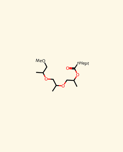 CCCCCCCC(=O)OC(C)COC(C)COC(C)COC